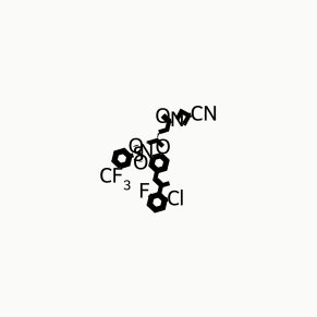 C/C(=C\c1ccc2c(c1)N(S(=O)(=O)c1cccc(C(F)(F)F)c1)C[C@H](CCC(=O)N1CC(C#N)C1)O2)c1c(F)cccc1Cl